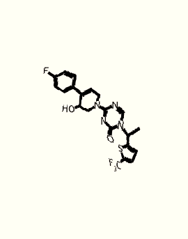 CC(c1ccc(C(F)(F)F)s1)n1cnc(N2CC=C(c3ccc(F)cc3)C(O)C2)nc1=O